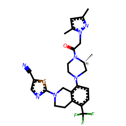 Cc1cc(C)n(CC(=O)N2CCN(c3ccc(C(F)(F)F)c4c3CN(c3ncc(C#N)s3)CC4)C[C@H]2C)n1